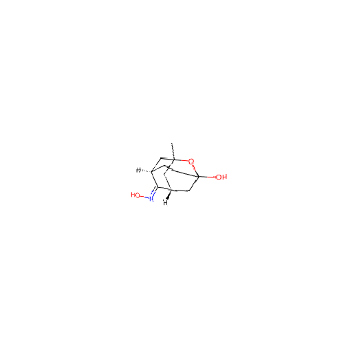 CC12C[C@@H]3CC(O)(C[C@H](C1)C3=NO)O2